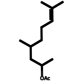 CC(=O)OC(C)CC(C)CCC=C(C)C